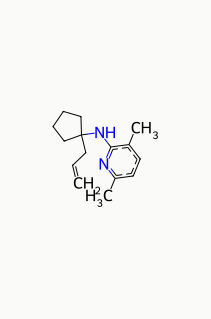 C=CCC1(Nc2nc(C)ccc2C)CCCC1